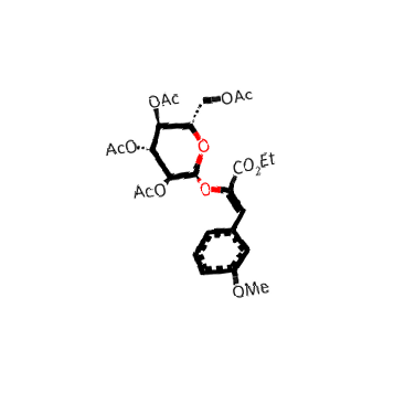 CCOC(=O)/C(=C/c1cccc(OC)c1)O[C@H]1O[C@@H](COC(C)=O)[C@H](OC(C)=O)[C@@H](OC(C)=O)[C@@H]1OC(C)=O